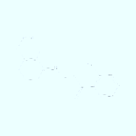 CCCC(C)OC1=C(C)C(=NONC(=O)c2ccncc2C(F)(F)F)CCC1